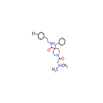 CCc1ccc(CCNC(=O)C2(Cc3ccccc3)CCN(C(=O)CN(C)C)CC2)cc1